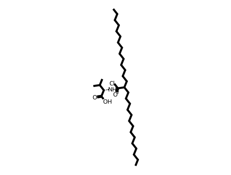 CC(C)[C@H](N)C(=O)O.CCCCCCCCCCCCCCC(CCCCCCCCCCCCCC)C(=O)Cl